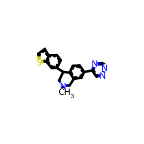 CN1Cc2cc(-c3cnncn3)ccc2C(c2ccc3ccsc3c2)C1